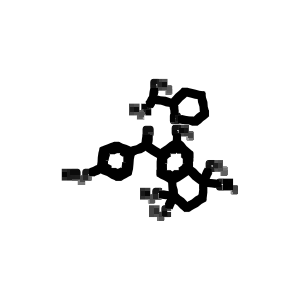 CC(N)C1CCCCO1.Cc1cc2c(cc1C(=O)c1ccc(C(=O)O)cc1)C(C)(C)CCC2(C)C